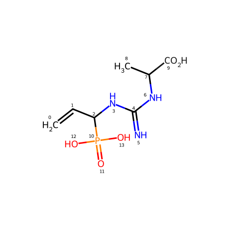 C=CC(NC(=N)NC(C)C(=O)O)P(=O)(O)O